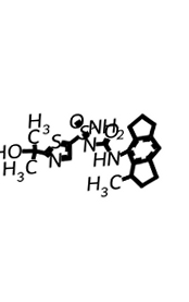 CC1CCc2cc3c(c(NC(=O)N=[S@](N)(=O)c4cnc(C(C)(C)O)s4)c21)CCC3